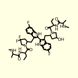 CCC(NC(=O)C(C)NC)C(=O)N1CC(O)CC1Cc1c(-c2[nH]c3cc(F)ccc3c2CC2CC(F)(F)CN2C(=O)C(CC)NC(=O)C(C)NC)[nH]c2cc(F)ccc12